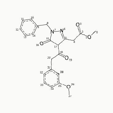 COC(=O)CC1=NN(Cc2ccccc2)C(=O)C1C(=O)Cc1cccc(OC)c1